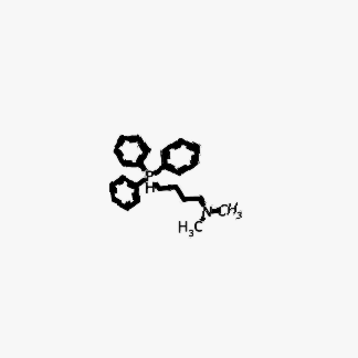 CN(C)CCCC[PH](c1ccccc1)(c1ccccc1)c1ccccc1